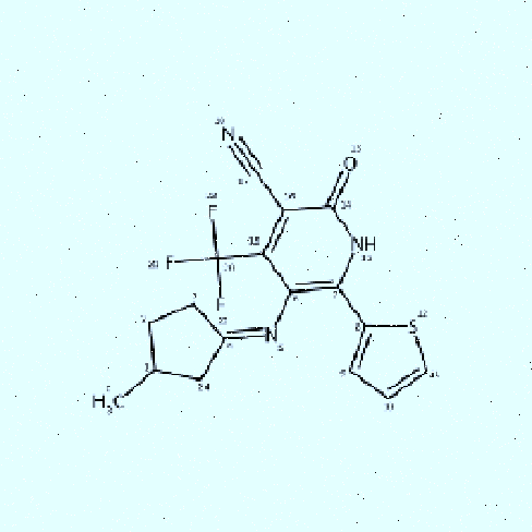 CC1CCC(=Nc2c(-c3cccs3)[nH]c(=O)c(C#N)c2C(F)(F)F)C1